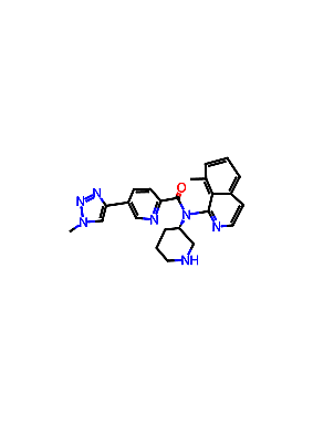 Cc1cccc2ccnc(N(C(=O)c3ccc(-c4cn(C)nn4)cn3)[C@@H]3CCCNC3)c12